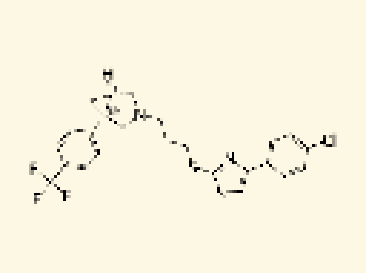 FC(F)(F)c1ccc([C@]23C[C@H]2CN(CCCSc2nc(-c4ccc(Cl)cc4)cs2)C3)cc1